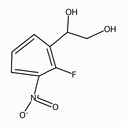 O=[N+]([O-])c1cccc(C(O)CO)c1F